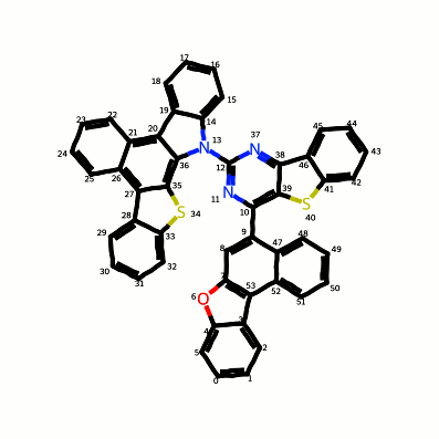 c1ccc2c(c1)oc1cc(-c3nc(-n4c5ccccc5c5c6ccccc6c6c7ccccc7sc6c54)nc4c3sc3ccccc34)c3ccccc3c12